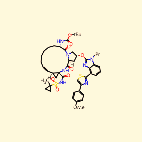 COc1ccc(-c2csc(-c3cccc4c3nc(O[C@@H]3C[C@H]5C(=O)N[C@]6(C(=O)NS(=O)(=O)C7(C)CC7)C[C@H]6/C=C\CCCCC[C@H](NC(=O)OC(C)(C)C)C(=O)N5C3)n4C(C)C)n2)cc1